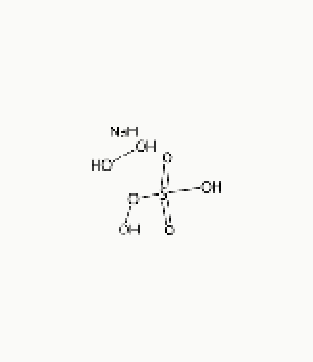 O=S(=O)(O)OO.OO.[NaH]